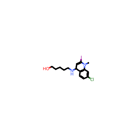 CN1C(I)=CC(NCCCCCO)c2ccc(Cl)cc21